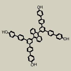 Oc1ccc(-c2ccc(-c3cc(-c4ccc(-c5ccc(O)cc5)cc4)cc(-c4c5ccccc5c(-c5cc(-c6ccc(-c7ccc(O)cc7)cc6)cc(-c6ccc(-c7ccc(O)cc7)cc6)c5)c5ccccc45)c3)cc2)cc1